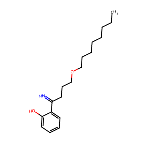 CCCCCCCCOCCCC(=N)c1ccccc1O